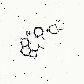 Cc1nc(Nc2ncc3ccc4ncc(C(C)C)n4c3n2)ccc1N1CCN(C)CC1